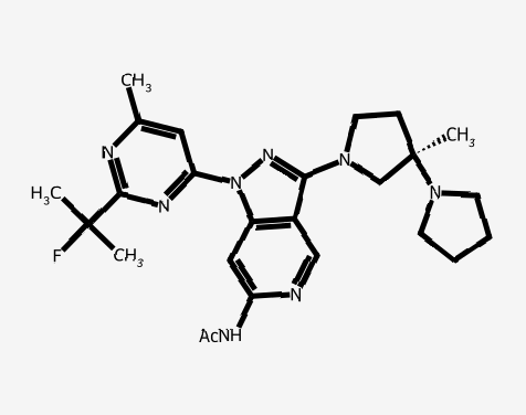 CC(=O)Nc1cc2c(cn1)c(N1CC[C@@](C)(N3CCCC3)C1)nn2-c1cc(C)nc(C(C)(C)F)n1